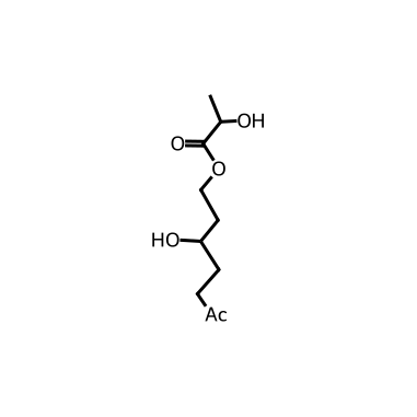 CC(=O)CCC(O)CCOC(=O)C(C)O